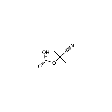 CC(C)(C#N)O[PH](=O)O